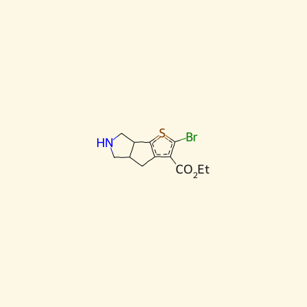 CCOC(=O)c1c(Br)sc2c1CC1CNCC21